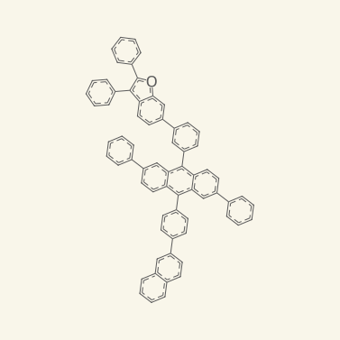 c1ccc(-c2ccc3c(-c4cccc(-c5ccc6c(-c7ccccc7)c(-c7ccccc7)oc6c5)c4)c4cc(-c5ccccc5)ccc4c(-c4ccc(-c5ccc6ccccc6c5)cc4)c3c2)cc1